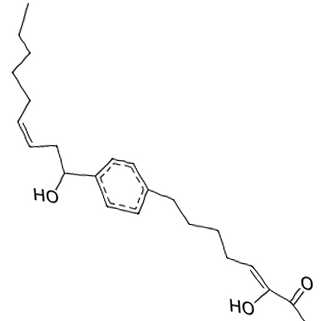 CCCCC/C=C\CC(O)c1ccc(CCCCC=C(O)C(=O)OC)cc1